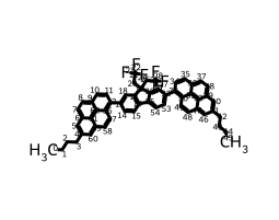 CCCCc1cc2ccc3ccc(-c4ccc5c(c4)C(CC(F)(F)F)(CC(F)(F)F)c4cc(-c6ccc7ccc8cc(CCCC)cc9ccc6c7c89)ccc4-5)c4ccc(c1)c2c34